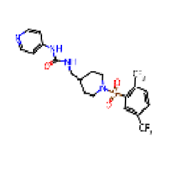 O=C(NCC1CCN(S(=O)(=O)c2cc(C(F)(F)F)ccc2C(F)(F)F)CC1)Nc1ccncc1